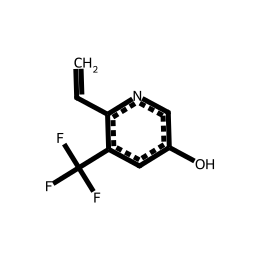 C=Cc1ncc(O)cc1C(F)(F)F